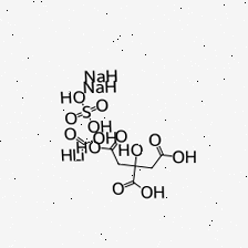 O=C(O)CC(O)(CC(=O)O)C(=O)O.O=CO.O=S(=O)(O)O.[LiH].[NaH].[NaH]